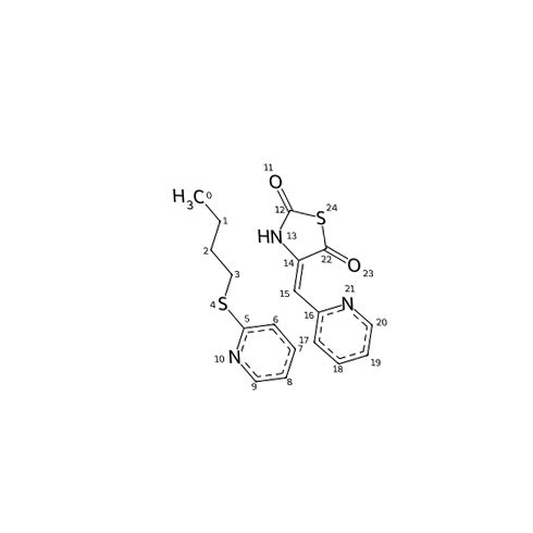 CCCCSc1ccccn1.O=C1NC(=Cc2ccccn2)C(=O)S1